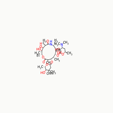 CC[C@H]1OC(=O)[C@H](C)[C@@H](O[C@H]2C[C@@](C)(OC)[C@@H](O)[C@H](C)O2)[C@@H](C)[C@@H](O[C@@H]2O[C@H](C)C[C@H](N(C)C)[C@H]2O)[C@](C)(O)C[C@@H](C)NC(=O)[C@H](C)[C@H](O)[C@]1(C)O